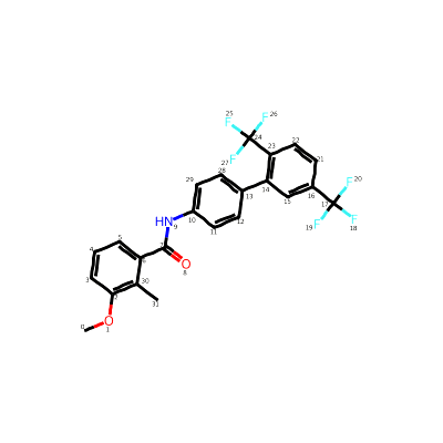 COc1cccc(C(=O)Nc2ccc(-c3cc(C(F)(F)F)ccc3C(F)(F)F)cc2)c1C